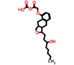 CCCCCC(O)CCC1OCC2Cc3c(cccc3OCC(=O)OC(=O)O)CC21